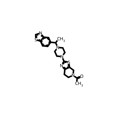 CC(=O)N1CCc2nc(N3CCN(C(C)c4ccc5scnc5c4)CC3)sc2C1